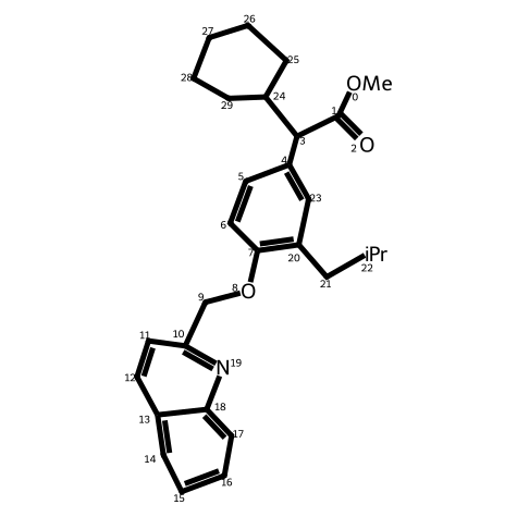 COC(=O)C(c1ccc(OCc2ccc3ccccc3n2)c(CC(C)C)c1)C1CCCCC1